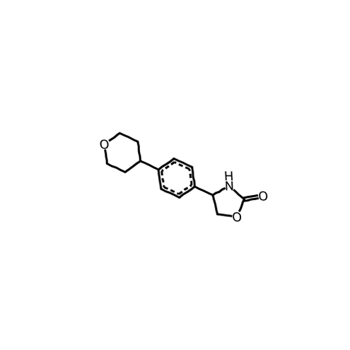 O=C1NC(c2ccc(C3CCOCC3)cc2)CO1